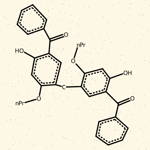 CCCOc1cc(O)c(C(=O)c2ccccc2)cc1Cc1cc(C(=O)c2ccccc2)c(O)cc1OCCC